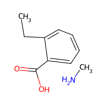 CCc1ccccc1C(=O)O.CN